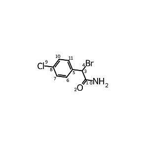 NC(=O)C(Br)c1ccc(Cl)cc1